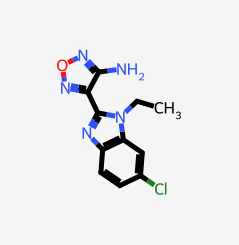 CCn1c(-c2nonc2N)nc2ccc(Cl)cc21